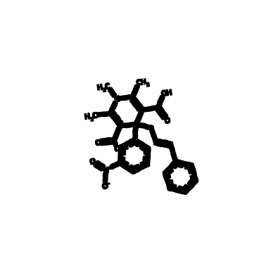 CC1=C(C(=O)O)C(C/C=C/c2ccccc2)(c2cccc([N+](=O)[O-])c2)C(C(=O)O)=C(C)N1C